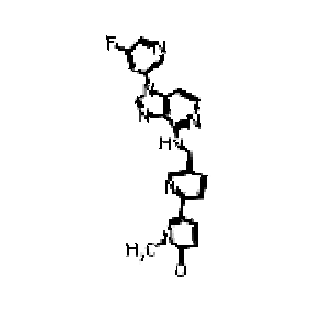 Cn1cc(-c2ccc(CNc3nccc4c3ncn4-c3cncc(F)c3)cn2)ccc1=O